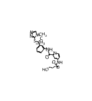 C[C@H](Sc1nncn1C)c1cccc(NC(=O)c2cc(NS(=O)(=O)CCO)ccn2)c1